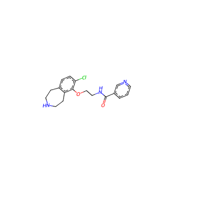 O=C(NCCOc1c(Cl)ccc2c1CCNCC2)c1cccnc1